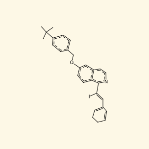 CC(C)(C)c1ccc(COc2ccc3c(C(I)=CC4=CCCC=C4)nccc3c2)cc1